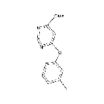 COc1cc(Oc2cccc(C)c2)ncn1